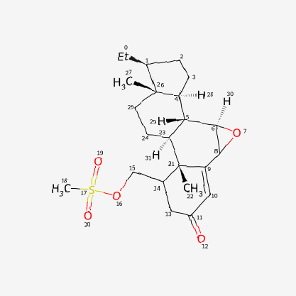 CC[C@H]1CC[C@H]2[C@@H]3[C@H]4OC4C4=CC(=O)CC(COS(C)(=O)=O)[C@]4(C)[C@H]3CC[C@]12C